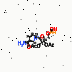 CC(=O)O[C@@H]1[C@H](OC(C)=O)[C@@H](COPO)O[C@H]1[n+]1cccc(C(N)=O)c1